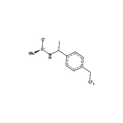 CC(N[S@+]([O-])C(C)(C)C)c1ccc(CC(F)(F)F)cc1